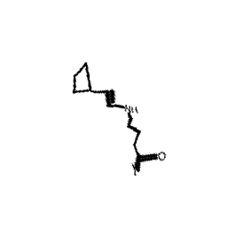 O=C(I)CCN/C=C/C1CCC1